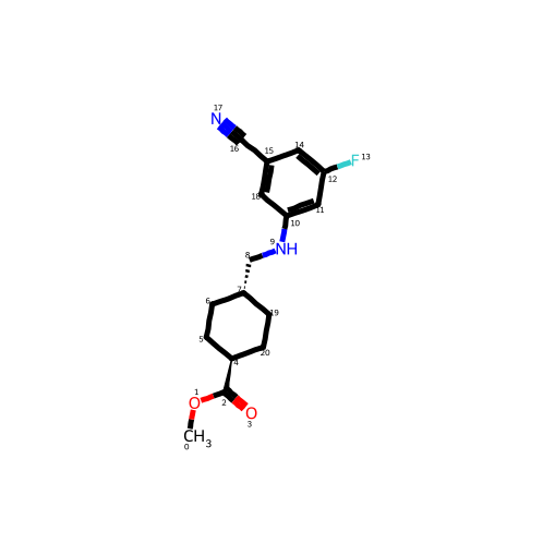 COC(=O)[C@H]1CC[C@H](CNc2cc(F)cc(C#N)c2)CC1